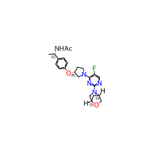 CC(=O)N[C@@H](C)c1ccc(O[C@@H]2CCN(c3nc(N4C[C@@H]5C[C@H]4CO5)ncc3F)C2)cc1